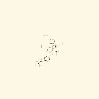 CC(=O)N[C@]1(O)[C@H](Oc2ccc(NC(=O)C(F)(F)F)cc2)O[C@H](CO)[C@@H](O[C@H]2C[C@@H](O)[C@H](O)[C@@H](CO)O2)[C@@H]1O